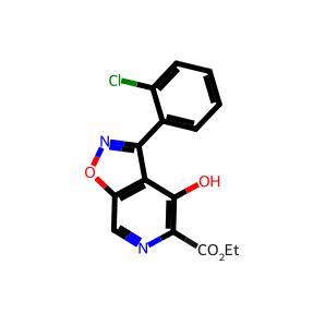 CCOC(=O)c1ncc2onc(-c3ccccc3Cl)c2c1O